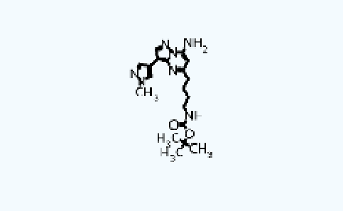 Cn1cc(-c2cnn3c(N)cc(CCCCNC(=O)OC(C)(C)C)nc23)cn1